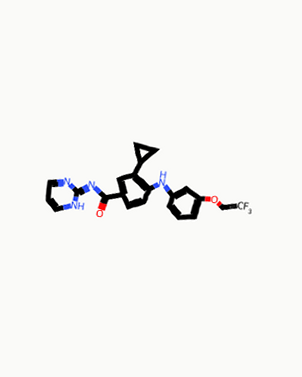 O=C(N=c1nccc[nH]1)c1ccc(Nc2cccc(OCC(F)(F)F)c2)c(C2CC2)c1